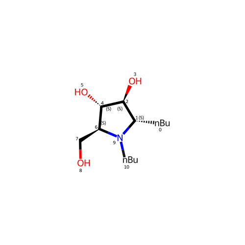 CCCC[C@H]1[C@H](O)[C@@H](O)[C@H](CO)N1CCCC